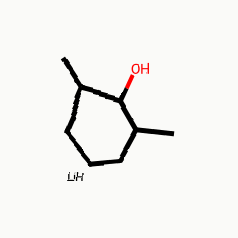 CC1CCCC(C)C1O.[LiH]